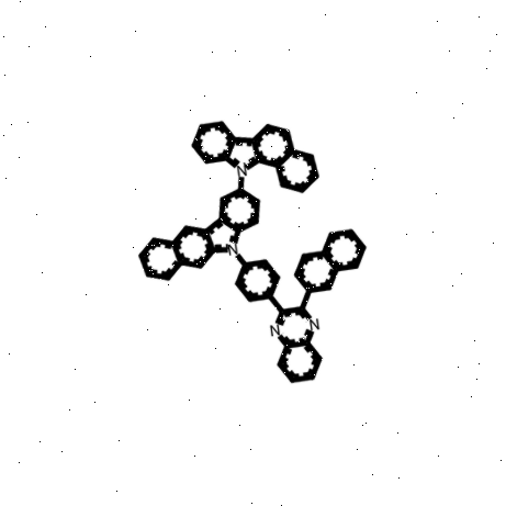 c1ccc2cc(-c3nc4ccccc4nc3-c3ccc(-n4c5ccc(-n6c7ccccc7c7ccc8ccccc8c76)cc5c5cc6ccccc6cc54)cc3)ccc2c1